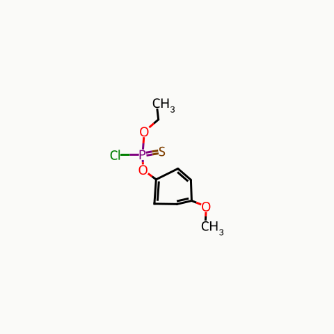 CCOP(=S)(Cl)Oc1ccc(OC)cc1